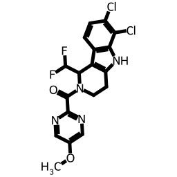 COc1cnc(C(=O)N2CCc3[nH]c4c(Cl)c(Cl)ccc4c3C2C(F)F)nc1